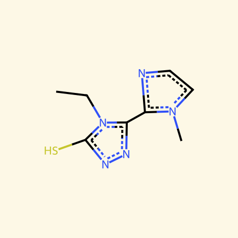 CCn1c(S)nnc1-c1nccn1C